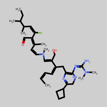 C\C=C/C=C(CC1=C(/N=C(/N)N(C)C)NCC(C2CCC2)=N1)\C(=C\N(C)\C=C/C(C)=C(C=O)/C(F)=C\C(C)C(C)CC)CO